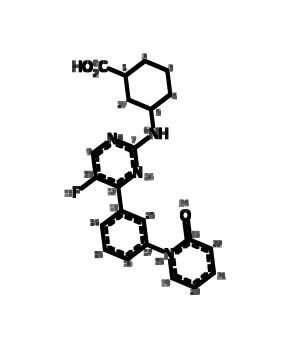 O=C(O)C1CCCC(Nc2ncc(F)c(-c3cccc(-n4ccccc4=O)c3)n2)C1